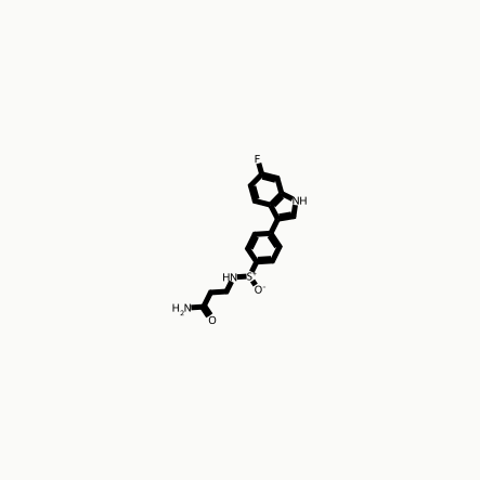 NC(=O)CCN[S+]([O-])c1ccc(-c2c[nH]c3cc(F)ccc23)cc1